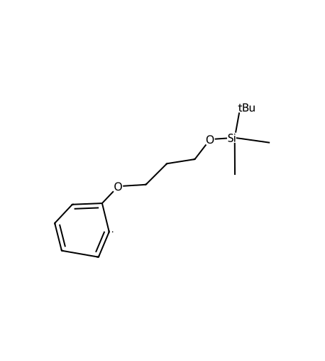 CC(C)(C)[Si](C)(C)OCCCOc1[c]cccc1